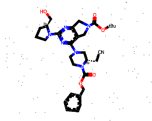 CC(C)(C)OC(=O)N1Cc2nc(N3CCC[C@H]3CO)nc(N3CCN(C(=O)OCc4ccccc4)[C@@H](CC#N)C3)c2C1